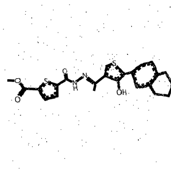 COC(=O)c1ccc(C(=O)N/N=C(\C)c2csc(-c3ccc4c(c3)CCCC4)c2O)s1